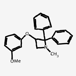 COc1cccc(OC2CN(C)C2(c2ccccc2)c2ccccc2)c1